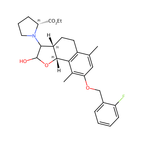 CCOC(=O)[C@H]1CCCN1C1C(O)O[C@H]2c3c(C)c(OCc4ccccc4F)cc(C)c3CC[C@@H]12